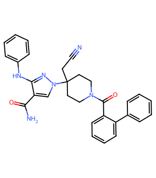 N#CCC1(n2cc(C(N)=O)c(Nc3ccccc3)n2)CCN(C(=O)c2ccccc2-c2ccccc2)CC1